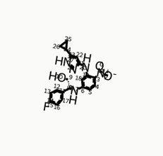 O=[N+]([O-])c1ccc(N[C@@H](CO)c2ccc(F)cc2)cc1Nc1cc(C2CC2)[nH]n1